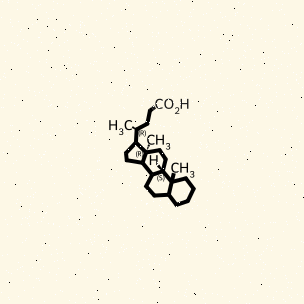 C[C@H](CCC(=O)O)C1CCC2C3CCC4CCCCC4(C)[C@H]3CC[C@@]21C